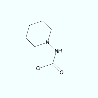 O=C(Cl)NN1CCCCC1